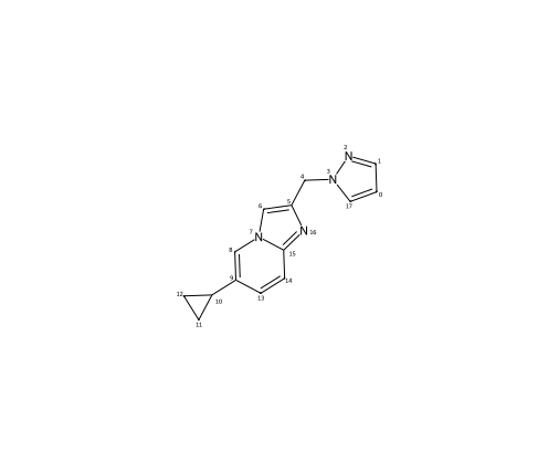 c1cnn(Cc2cn3cc(C4CC4)ccc3n2)c1